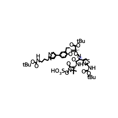 CC(C)(C)OC(=O)NCCCn1cc(-c2ccc3c(c2)CC[C@H]([C@](C)(O/N=C(\C(=O)N[C@@H]2C(=O)N(OS(=O)(=O)O)C2(C)C)c2csc(NC(=O)OC(C)(C)C)n2)C(=O)OC(C)(C)C)O3)cn1